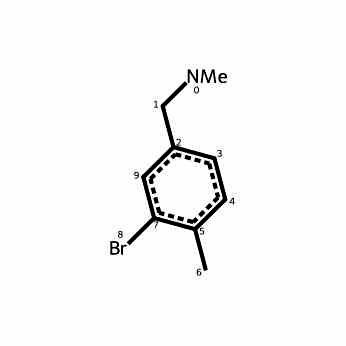 CNCc1ccc(C)c(Br)c1